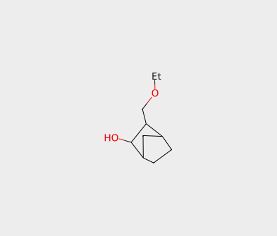 CCOCC1C2CCC(C2)C1O